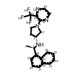 C[C@@H](N[C@@H]1CCN(c2nccnc2C(F)(F)F)C1)c1cccc2ccccc12